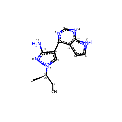 C[C@H](CC#N)n1cc(-c2ncnc3[nH]ccc23)c(N)n1